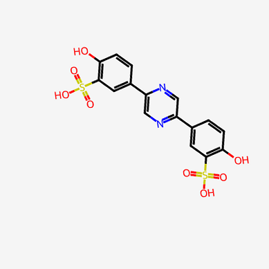 O=S(=O)(O)c1cc(-c2cnc(-c3ccc(O)c(S(=O)(=O)O)c3)cn2)ccc1O